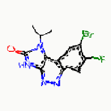 CC(C)n1c(=O)[nH]c2nnc3cc(F)c(Br)cc3c21